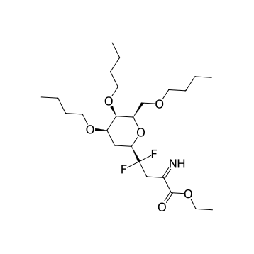 CCCCOC[C@H]1O[C@@H](C(F)(F)CC(=N)C(=O)OCC)C[C@@H](OCCCC)[C@H]1OCCCC